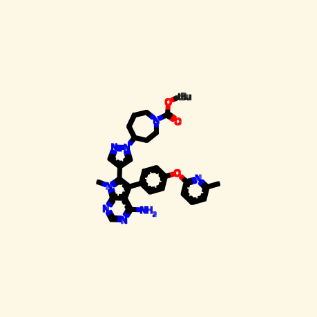 Cc1cccc(Oc2ccc(-c3c(-c4cnn(C5CCCN(C(=O)OC(C)(C)C)CC5)c4)n(C)c4ncnc(N)c34)cc2)n1